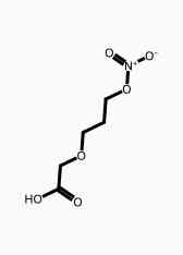 O=C(O)COCCCO[N+](=O)[O-]